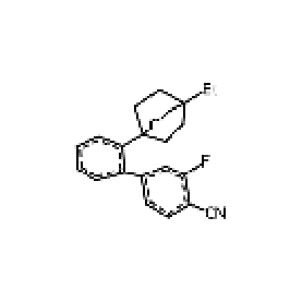 CCC12CCC(c3ccccc3-c3ccc(C#N)c(F)c3)(CC1)CC2